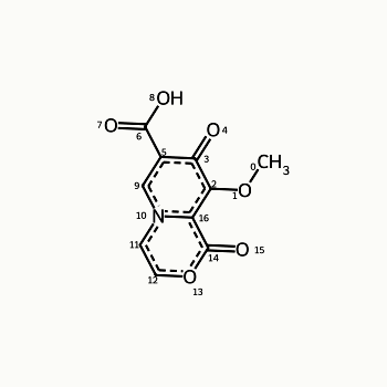 COc1c(=O)c(C(=O)O)cn2ccoc(=O)c12